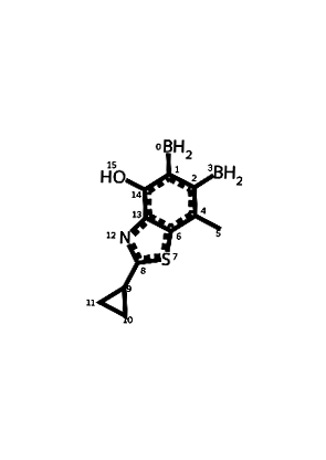 Bc1c(B)c(C)c2sc(C3CC3)nc2c1O